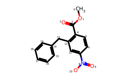 COC(=O)c1ccc([N+](=O)[O-])cc1Cc1ccccc1